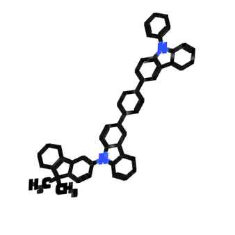 CC1(C)C2=C(CCCC2)C2CC(N3C4C=CCCC4C4CC(C5C=CC(C6C=C7C(=CC6)N(C6=CCCC=C6)C6C=CCCC76)CC5)C=CC43)C=CC21